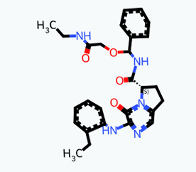 CCNC(=O)COC(NC(=O)[C@@H]1CCc2cnc(Nc3ccccc3CC)c(=O)n21)c1ccccc1